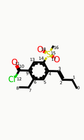 CCC=Cc1cc(CC)c(C(=O)Cl)cc1S(C)(=O)=O